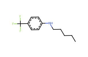 CCCCCNc1ccc(C(F)(F)F)cc1